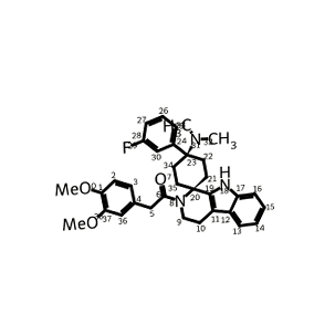 COc1ccc(CC(=O)N2CCc3c4ccccc4[nH]c3[C@]23CC[C@](c2cccc(F)c2)(N(C)C)CC3)cc1OC